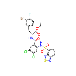 CCOC(=O)[C@H](Cc1ccc(F)c(Br)c1)NC(=O)c1cc(Cl)c(Cl)cc1NS(=O)(=O)c1cccc2nsnc12